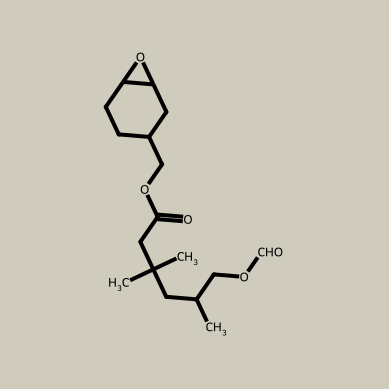 CC(COC=O)CC(C)(C)CC(=O)OCC1CCC2OC2C1